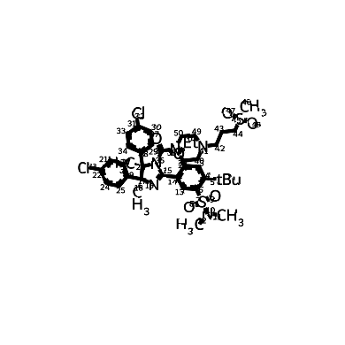 CCOc1cc(C(C)(C)C)c(S(=O)(=O)N(C)C)cc1C1=N[C@@](C)(c2ccc(Cl)cc2)[C@@](C)(c2ccc(Cl)cc2)N1C(=O)N1CCN(CCCS(C)(=O)=O)CC1